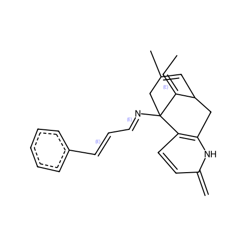 C=C1C=CC2=C(CC3C=C(C)CC2(/N=C/C=C/c2ccccc2)/C3=C/C)N1